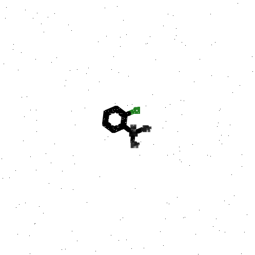 C[CH](C)[SnH]([c]1ccccc1Cl)[CH](C)C